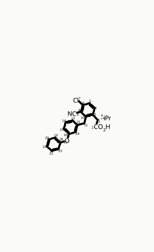 CC(C)[C@H](C(=O)O)c1ccc(Cl)c(C#N)c1Cc1cccc(Oc2ccccc2)c1